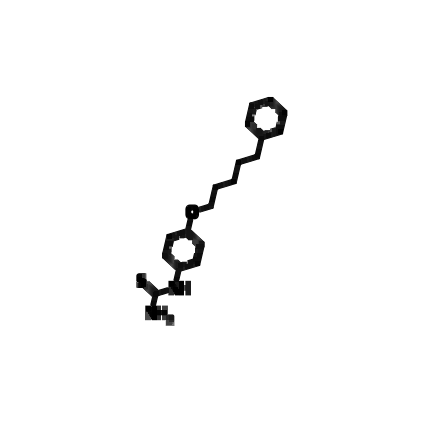 NC(=S)Nc1ccc(OCCCCCc2ccccc2)cc1